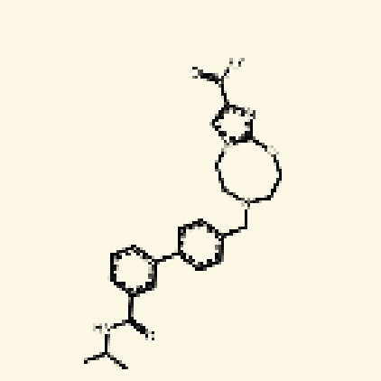 CC(C)NC(=O)c1cccc(-c2ccc(CN3CCOc4nc([N+](=O)[O-])cn4CC3)cc2)c1